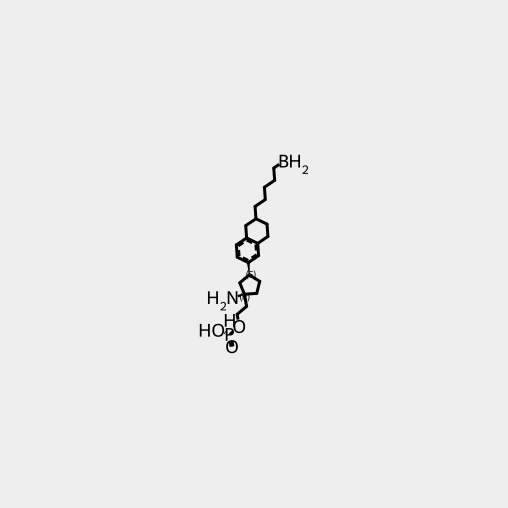 BCCCCCC1CCc2cc([C@H]3CC[C@](N)(CCO[PH](=O)O)C3)ccc2C1